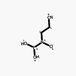 N#CCCN(Cl)P(O)O